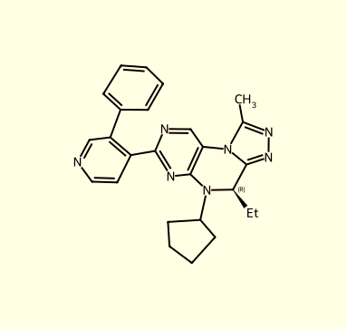 CC[C@@H]1c2nnc(C)n2-c2cnc(-c3ccncc3-c3ccccc3)nc2N1C1CCCC1